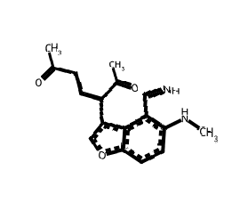 CNc1ccc2occ(C(CCC(C)=O)C(C)=O)c2c1C=N